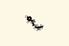 C[C@H](NC(=O)c1cc(C(F)(F)F)nn1C)c1nc(-c2ccc(Cl)cc2Cl)no1